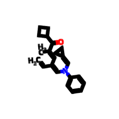 C=CC(=C/N(C=C1CC1)c1ccccc1)/C=C(\C)C(=O)C1CCC1